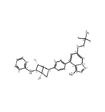 C[C@@H]1C2[C@@H](CN2c2ccc(-c3cc(OCC(C)(C)O)cn4ncc(C#N)c34)cn2)[C@H]1Nc1ncccn1